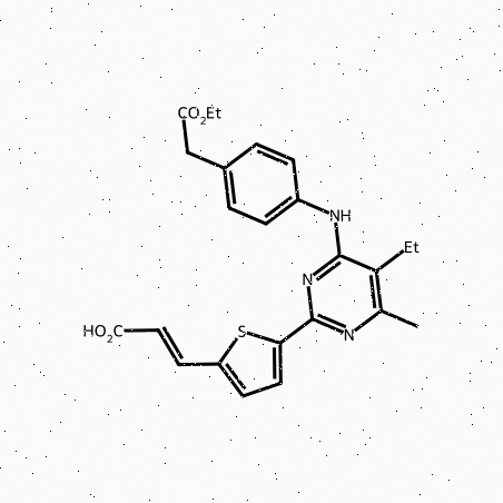 CCOC(=O)Cc1ccc(Nc2nc(-c3ccc(C=CC(=O)O)s3)nc(C)c2CC)cc1